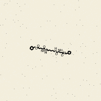 N[C@@H](CCC(=O)OCc1ccccc1)C(=O)NCCCCCCNC(=O)[C@@H](N)CCC(=O)OCc1ccccc1